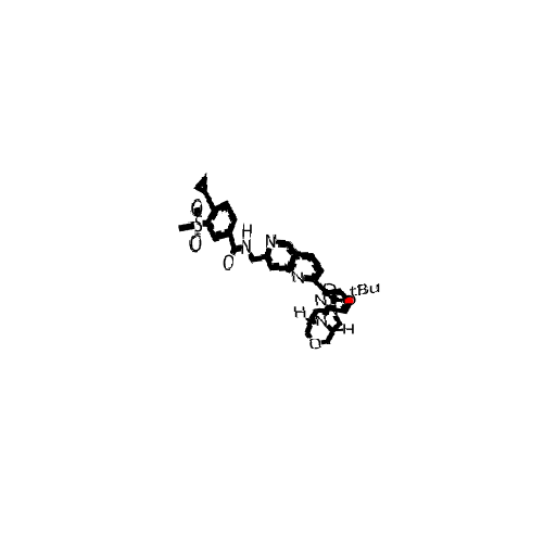 CC(C)(C)OC(=O)N1C[C@H]2COC[C@@H](C1)N2c1cccc(-c2ccc3cnc(CNC(=O)c4ccc(C5CC5)c(S(C)(=O)=O)c4)cc3n2)n1